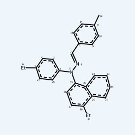 CCc1ccc(N(/N=C/c2ccc(C)cc2)c2ccc(CC)c3ccccc23)cc1